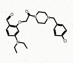 CCN(CC)c1ccc(C=O)c(OCC(=O)N2CCN(Cc3ccc(Cl)cc3)CC2)c1